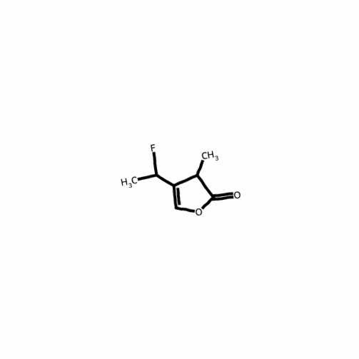 CC(F)C1=COC(=O)C1C